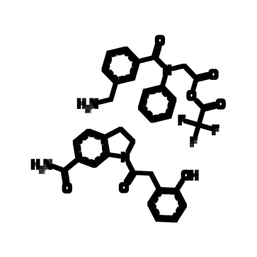 NC(=O)c1ccc2c(c1)N(C(=O)Cc1ccccc1O)CC2.NCc1cccc(C(=O)N(CC(=O)OC(=O)C(F)(F)F)c2ccccc2)c1